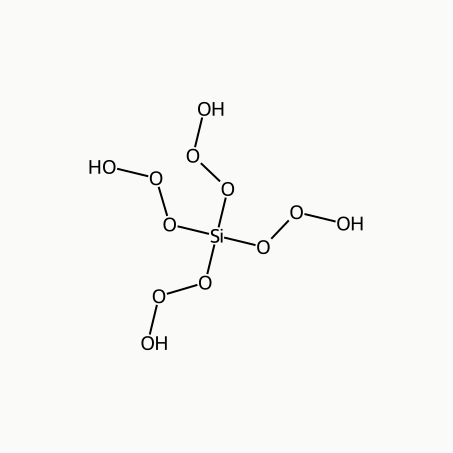 OOO[Si](OOO)(OOO)OOO